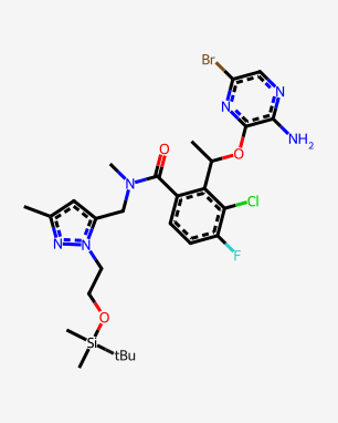 Cc1cc(CN(C)C(=O)c2ccc(F)c(Cl)c2C(C)Oc2nc(Br)cnc2N)n(CCO[Si](C)(C)C(C)(C)C)n1